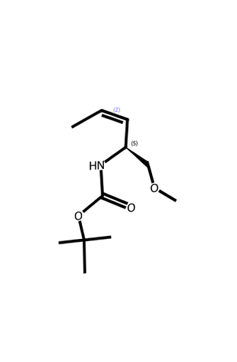 C/C=C\[C@@H](COC)NC(=O)OC(C)(C)C